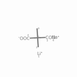 CC(C)(C(=O)[O-])C(=O)[O-].[Li+].[Na+]